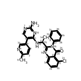 Cc1ccc(-c2cnc(N)nc2N[C@@H](C)c2nc3cccc(Cl)c3c(=O)n2-c2ccccc2)cn1